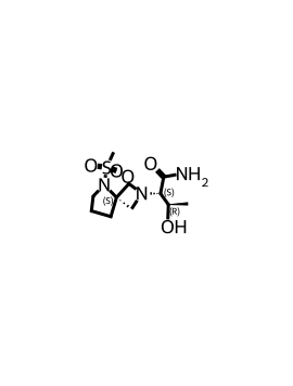 C[C@@H](O)[C@@H](C(N)=O)N1C[C@@]2(CCCN2S(C)(=O)=O)C1=O